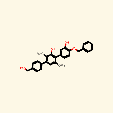 COc1cc(-c2ccc(CO)cc2)c(OC)c(O)c1-c1ccc(OCc2ccccc2)c(O)c1